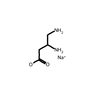 NCC(N)CC(=O)[O-].[Na+]